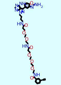 C#Cc1cccc(C(=O)NCCOCCOCCOCCC(=O)NCCOCCOCCC(=O)NCCCCn2nc(-c3ccc4oc(N)nc4c3)c3c(N)ncnc32)c1